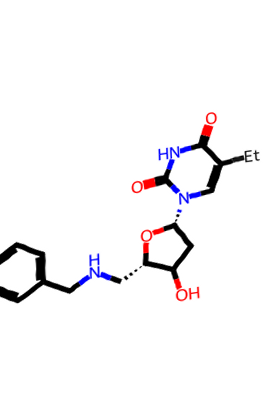 CCc1cn([C@@H]2CC(O)[C@H](CNCc3ccccc3)O2)c(=O)[nH]c1=O